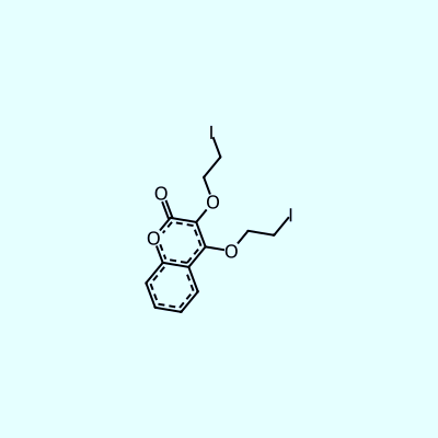 O=c1oc2ccccc2c(OCCI)c1OCCI